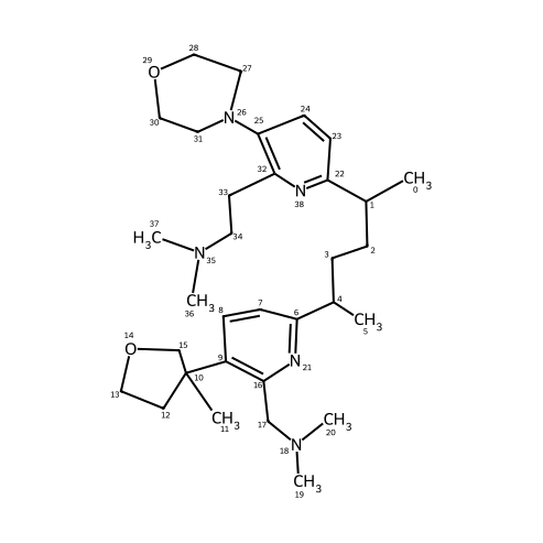 CC(CCC(C)c1ccc(C2(C)CCOC2)c(CN(C)C)n1)c1ccc(N2CCOCC2)c(CCN(C)C)n1